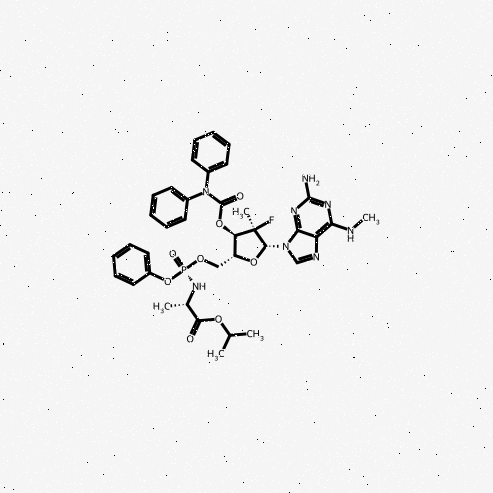 CNc1nc(N)nc2c1ncn2[C@@H]1O[C@H](CO[P@@](=O)(N[C@@H](C)C(=O)OC(C)C)Oc2ccccc2)[C@@H](OC(=O)N(c2ccccc2)c2ccccc2)[C@@]1(C)F